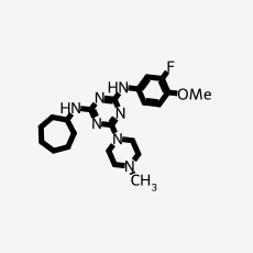 COc1ccc(Nc2nc(NC3CCCCCC3)nc(N3CCN(C)CC3)n2)cc1F